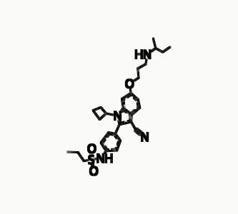 CCCS(=O)(=O)Nc1ccc(-c2c(C#N)c3ccc(OCCCNC(C)CC)cc3n2C2CCC2)cc1